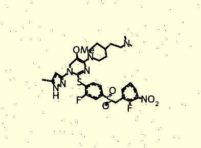 COC1=C(N2CCC(CCN(C)C)CC2)N=C(Sc2ccc(S(=O)(=O)Cc3cccc([N+](=O)[O-])c3F)cc2F)N(c2cc(C)[nH]n2)C1